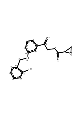 O=C(CCC(=O)C1CO1)c1cccc(OCc2ccccc2F)c1